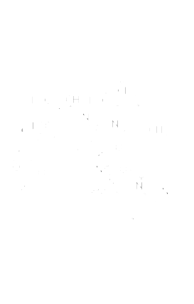 CC1CN(c2nc(C(C)(C)C)c(C3=CCCC4(C3)OCCO4)cc2C(=O)NS(=O)(=O)c2cccc(N)n2)C(C)(C)C1